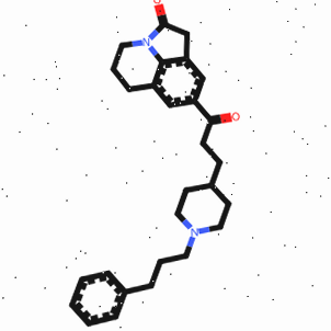 O=C(CCC1CCN(CCCc2ccccc2)CC1)c1cc2c3c(c1)CC(=O)N3CCC2